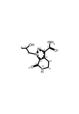 CC(O)Cn1nc(C(N)=O)c2c1C(=O)NCC2